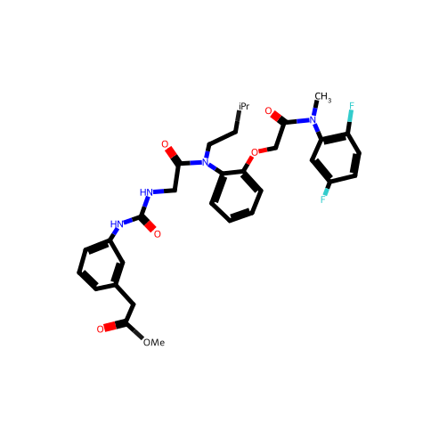 COC(=O)Cc1cccc(NC(=O)NCC(=O)N(CCC(C)C)c2ccccc2OCC(=O)N(C)c2cc(F)ccc2F)c1